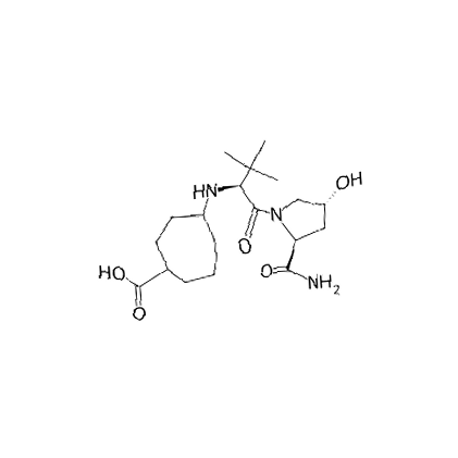 CC(C)(C)[C@H](NC1CCCC(C(=O)O)CC1)C(=O)N1C[C@H](O)C[C@H]1C(N)=O